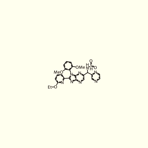 CCOc1cccc(-c2nc3ncc(C(N[SH](=O)=O)c4cnccn4)nc3n2-c2c(OC)cccc2OC)n1